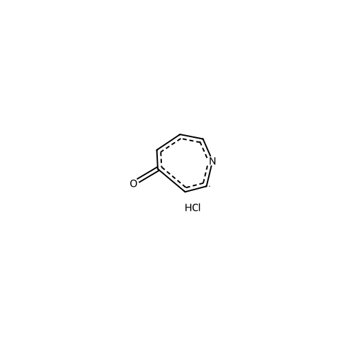 Cl.O=c1c[c]nccc1